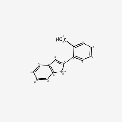 O=C(O)c1ccccc1-c1cc2ccncc2[nH]1